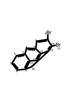 Brc1cc2cc3cccc4c3cc2c(c1Br)C4